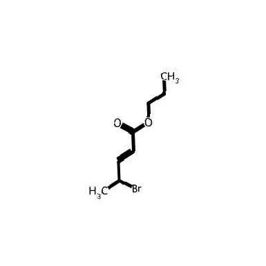 CCCOC(=O)C=CC(C)Br